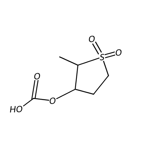 CC1C(OC(=O)O)CCS1(=O)=O